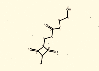 CC1C(=O)C(CCC(=O)OCCO)C1=O